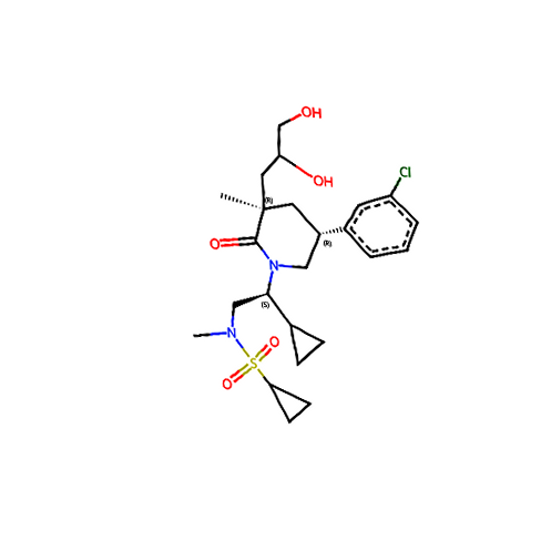 CN(C[C@H](C1CC1)N1C[C@@H](c2cccc(Cl)c2)C[C@](C)(CC(O)CO)C1=O)S(=O)(=O)C1CC1